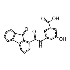 O=C(O)c1cc(O)cc(NC(=O)c2cccc3c2C(=O)c2ccccc2-3)c1